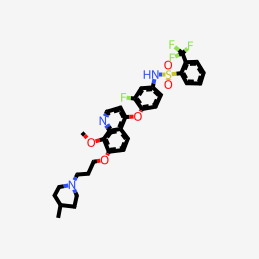 COc1c(OCCCN2CCC(C)CC2)ccc2c(Oc3ccc(NS(=O)(=O)c4ccccc4C(F)(F)F)cc3F)ccnc12